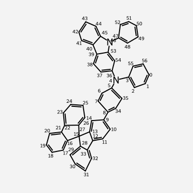 c1ccc(N(c2ccc(-c3ccc4c(c3)C3(c5ccccc5-c5ccccc53)c3ccccc3-4)cc2)c2ccc3c4ccccc4n(-c4ccccc4)c3c2)cc1